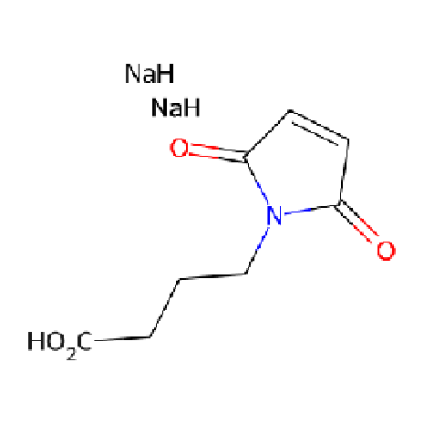 O=C(O)CCCN1C(=O)C=CC1=O.[NaH].[NaH]